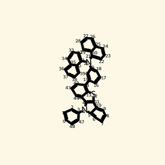 c1ccc(-n2c3ccccc3c3sc4c(-c5cccc(N(c6cccc7ccccc67)c6cccc7ccccc67)c5)cccc4c32)cc1